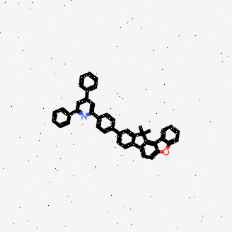 CC1(C)c2cc(-c3ccc(-c4cc(-c5ccccc5)cc(-c5ccccc5)n4)cc3)ccc2-c2ccc3oc4ccccc4c3c21